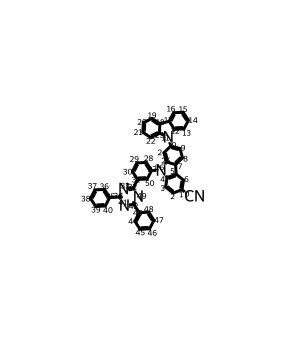 N#Cc1ccc2c(c1)c1ccc(-n3c4ccccc4c4ccccc43)cc1n2-c1cccc(-c2nc(-c3ccccc3)nc(-c3ccccc3)n2)c1